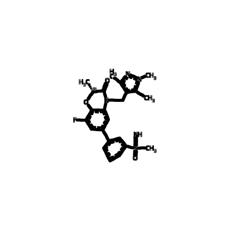 Cc1nn(C)c(C)c1CN1C(=O)[C@@H](C)Oc2c(F)cc(-c3cccc(S(C)(=N)=O)c3)cc21